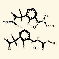 CCC(=O)C(F)(F)c1cccc([C@@H](C)NC(=O)OC(C)(C)C)c1F.CON(C)C(=O)C(F)(F)c1cccc([C@@H](C)N(C(=O)O)C(C)(C)C)c1F